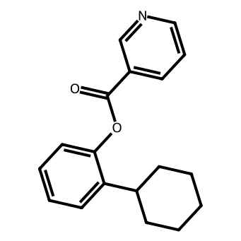 O=C(Oc1ccccc1C1CCCCC1)c1cccnc1